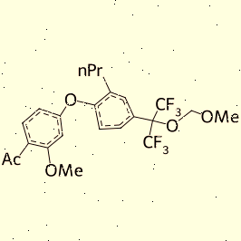 CCCc1cc(C(OCOC)(C(F)(F)F)C(F)(F)F)ccc1Oc1ccc(C(C)=O)c(OC)c1